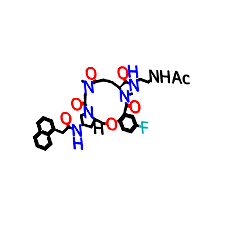 CC(=O)NCCNC(=O)[C@@H]1CCC(=O)N(C)CC(=O)N2C[C@@H](NC(=O)Cc3cccc4ccccc34)C[C@H]2COc2ccc(F)cc2C(=O)N1C